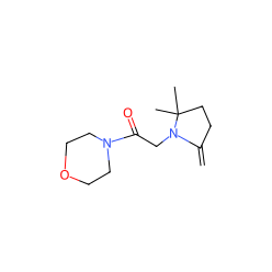 C=C1CCC(C)(C)N1CC(=O)N1CCOCC1